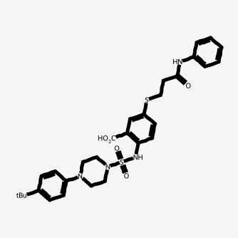 CC(C)(C)c1ccc(N2CCN(S(=O)(=O)Nc3ccc(SCCC(=O)Nc4ccccc4)cc3C(=O)O)CC2)cc1